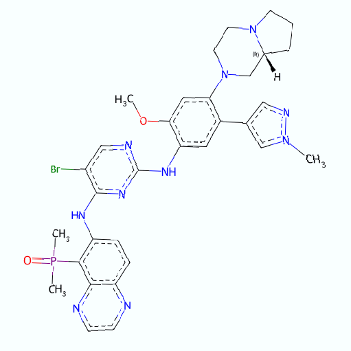 COc1cc(N2CCN3CCC[C@@H]3C2)c(-c2cnn(C)c2)cc1Nc1ncc(Br)c(Nc2ccc3nccnc3c2P(C)(C)=O)n1